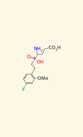 COc1cc(F)ccc1CCP(=O)(O)C(N)CCC(=O)O